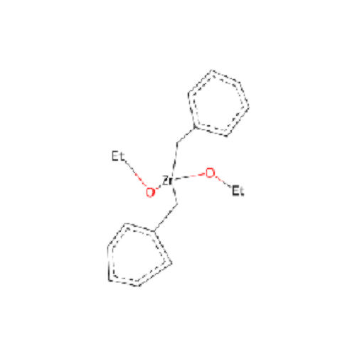 CC[O][Zr]([CH2]c1ccccc1)([CH2]c1ccccc1)[O]CC